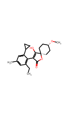 CCc1cc(C)cc(C2CC2)c1C1=C(O)[C@]2(CC[C@@H](OC)CC2)OC1=O